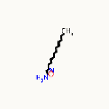 CCCCCCCCCCCCCc1cc(N)on1